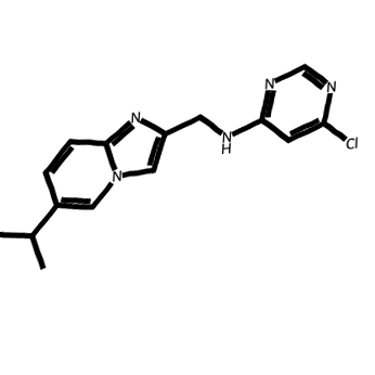 CC(C)c1ccc2nc(CNc3cc(Cl)ncn3)cn2c1